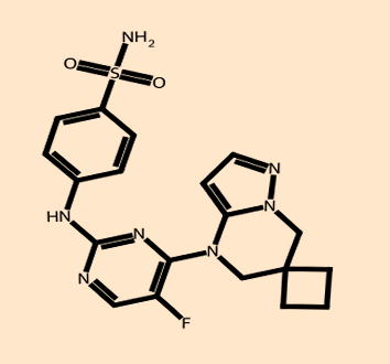 NS(=O)(=O)c1ccc(Nc2ncc(F)c(N3CC4(CCC4)Cn4nccc43)n2)cc1